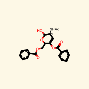 CC(=O)N[C@H]1C=C(OC(=O)c2ccccc2)C(COC(=O)c2ccccc2)OC1O